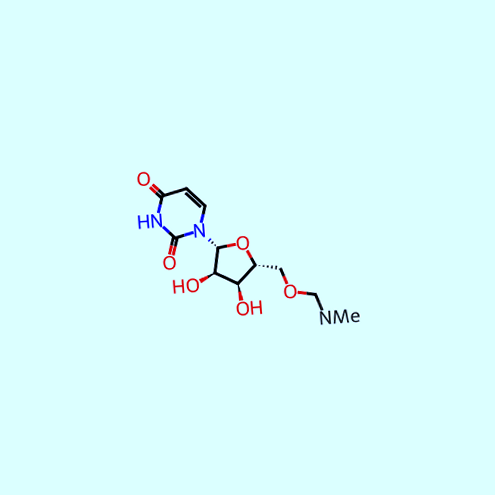 CNCOC[C@H]1O[C@@H](n2ccc(=O)[nH]c2=O)[C@H](O)[C@@H]1O